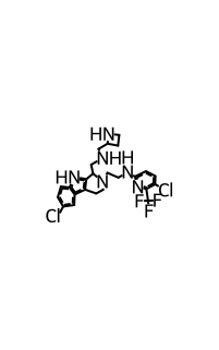 FC(F)(F)c1nc(NCCN2CCc3c([nH]c4ccc(Cl)cc34)C2CNCC2CCN2)ccc1Cl